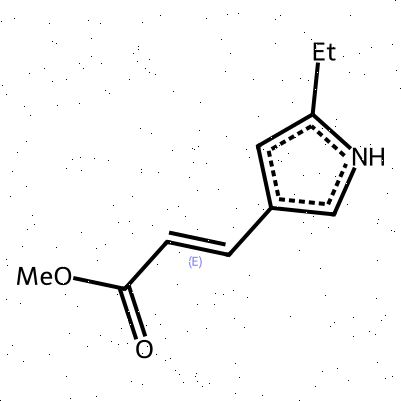 CCc1cc(/C=C/C(=O)OC)c[nH]1